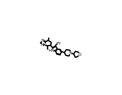 CC(C)c1c(C2CC(C)c3ncnn3C2C)[nH]c2ccc(C3CCN(C4CCOCC4)CC3)cc12